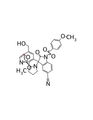 COc1ccc(S(=O)(=O)N2C(=O)C(c3cc(CO)ccc3OC)(N3CCC[C@H]3c3ncco3)c3cc(C#N)ccc32)cc1